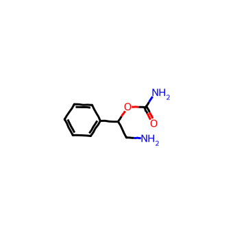 NCC(OC(N)=O)c1ccccc1